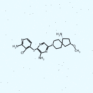 CO[C@@H]1C[C@@H](N)C2(CCN(c3cnc(Sc4ccnc(N)c4Cl)c(N)n3)CC2)C1